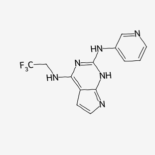 FC(F)(F)CNc1nc(Nc2cccnc2)[nH]c2nccc1-2